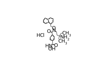 CCC(N)(CC)CCN(OCc1cccc2ccccc12)C(=O)c1ccc(C(=O)NO)cc1.Cl